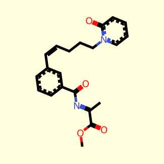 COC(=O)/C(C)=N/C(=O)c1cccc(/C=C\CCCn2ccccc2=O)c1